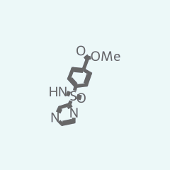 COC(=O)c1ccc(S(=N)(=O)c2cnccn2)cc1